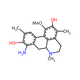 COc1c(O)c(C)c2c3c1-c1cc(C)c(O)c(N)c1CC3N(C)CC2